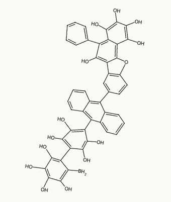 Bc1c(O)c(O)c(O)c(O)c1-c1c(O)c(O)c(-c2c3ccccc3c(-c3ccc4oc5c6c(O)c(O)c(O)c(O)c6c(-c6ccccc6)c(O)c5c4c3)c3ccccc23)c(O)c1O